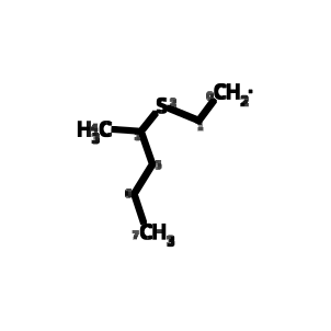 [CH2]CSC(C)CCC